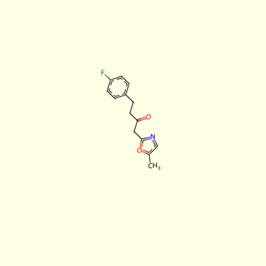 Cc1cnc(CC(=O)CCc2ccc(F)cc2)o1